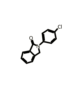 O=C1c2ccccc2CN1c1ccc(Cl)cc1